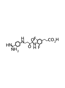 N=C(N)c1ccc(NCCC(=O)C(=O)Nc2c(F)cc(CCC(=O)O)cc2F)cc1